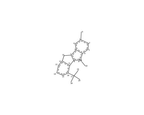 Cc1ccc2c(c1)c1c(n2C)-c2c(cccc2C(C)(C)C)C1